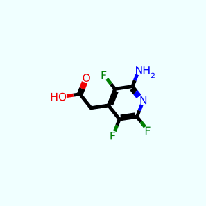 Nc1nc(F)c(F)c(CC(=O)O)c1F